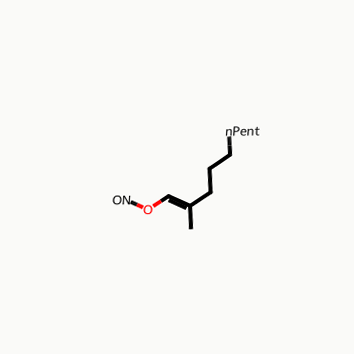 CCCCCCCCC(C)=CON=O